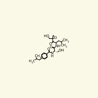 CC(C)Cc1ccc(C(=O)N[C@@H](CO)C(=O)NC(CC(C)C)C(=O)C2(CO)CO2)cc1